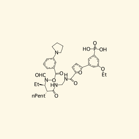 CCCCC[C@@H](C(=O)NCNC(=O)c1ccc(-c2cc(OCC)cc(P(=O)(O)O)c2)o1)[C@@H](CC)N(C=O)OC(=O)c1cccc(N2CCCC2)c1